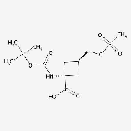 CC(C)(C)OC(=O)N[C@]1(C(=O)O)C[C@@H](COS(C)(=O)=O)C1